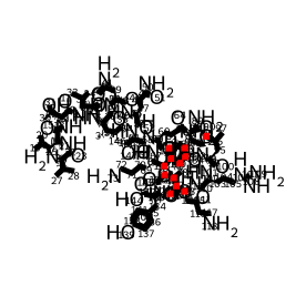 CC[C@H](C)[C@H](NC(=O)[C@@H](NC(=O)[C@@H](NC(=O)[C@H](CC(C)C)NC(=O)[C@@H](N)C(C)C)[C@@H](C)O)C(C)C)C(=O)N[C@@H](CC(N)=O)C(=O)N[C@@H](CCC(N)=O)C(=O)N[C@H](C(=O)N[C@@H](CCC(N)=O)C(=O)N[C@@H](CCCCN)C(=O)N[C@@H](CCC(=O)O)C(=O)N[C@@H](CC(N)=O)C(=O)N[C@@H](CC(C)C)C(=O)N[C@@H](CCCNC(=N)N)C(=O)N[C@@H](CCCCN)C(=O)N[C@@H](Cc1ccccc1)C(=O)N[C@@H](Cc1ccc(O)cc1)C(=O)O)[C@@H](C)O